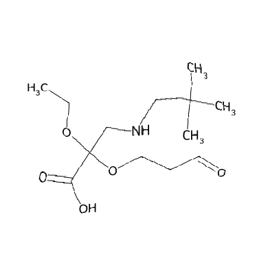 CCOC(CNCC(C)(C)C)(OCCC=O)C(=O)O